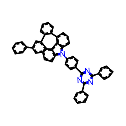 c1ccc(-c2cc3c4c(ccc5c4c4c(cccc4n5-c4ccc(-c5nc(-c6ccccc6)nc(-c6ccccc6)n5)cc4)-c4ccccc4-3)c2)cc1